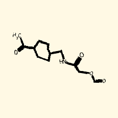 CC(=O)C1CCC(CNC(=O)COC=O)CC1